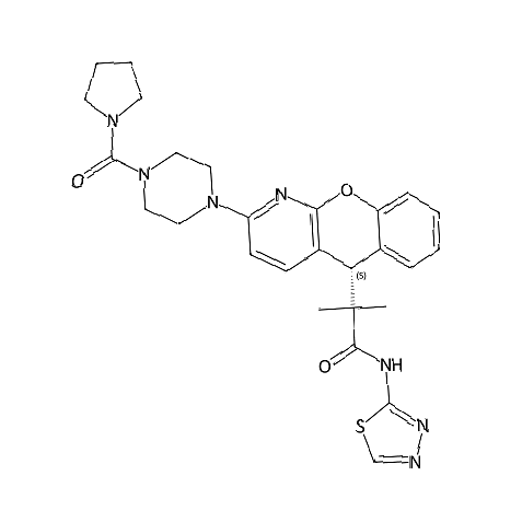 CC(C)(C(=O)Nc1nncs1)[C@H]1c2ccccc2Oc2nc(N3CCN(C(=O)N4CCCC4)CC3)ccc21